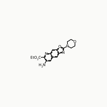 CCOC(=O)c1nc2cc3oc(N4CCOCC4)nc3cc2cc1N